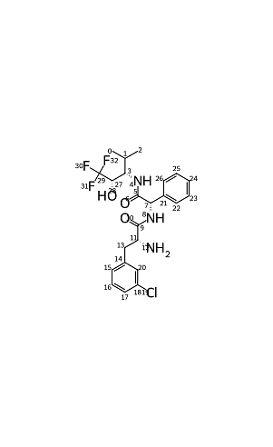 CC(C)[C@H](NC(=O)[C@@H](NC(=O)[C@H](N)Cc1cccc(Cl)c1)c1ccccc1)[C@H](O)C(F)(F)F